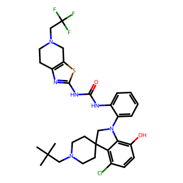 CC(C)(C)CN1CCC2(CC1)CN(c1ccccc1NC(=O)Nc1nc3c(s1)CN(CC(F)(F)F)CC3)c1c(O)ccc(Cl)c12